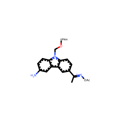 CCCCCCOCn1c2ccc(N)cc2c2cc(/C(C)=N/OC(C)=O)ccc21